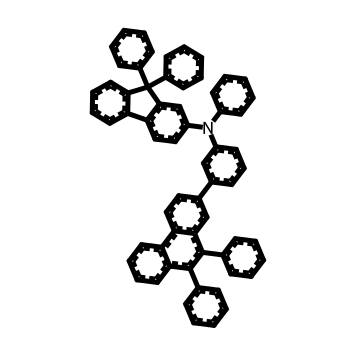 c1ccc(-c2c(-c3ccccc3)c3cc(-c4cccc(N(c5ccccc5)c5ccc6c(c5)C(c5ccccc5)(c5ccccc5)c5ccccc5-6)c4)ccc3c3ccccc23)cc1